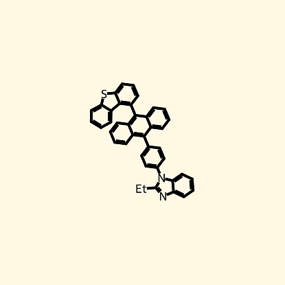 CCc1nc2ccccc2n1-c1ccc(-c2c3ccccc3c(-c3cccc4sc5ccccc5c34)c3ccccc23)cc1